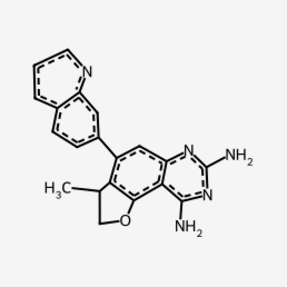 CC1COc2c1c(-c1ccc3cccnc3c1)cc1nc(N)nc(N)c21